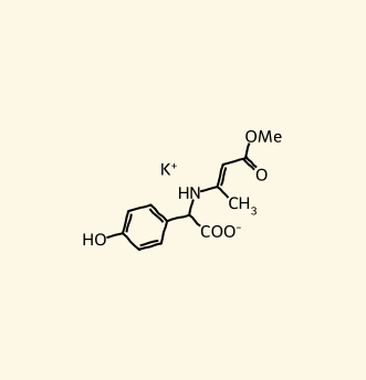 COC(=O)/C=C(\C)NC(C(=O)[O-])c1ccc(O)cc1.[K+]